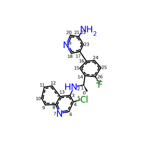 C[C@@H](Nc1c(Cl)cnc2ccccc12)c1cc(-c2cncc(N)c2)ccc1F